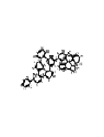 c1ccc(-c2ccc(-c3cccc(-c4cc(-c5ccc6c(c5)C5(c7ccccc7S6)c6ccccc6-c6ccccc65)nc(-c5ccccc5)n4)c3)c(-c3ccccc3)n2)cc1